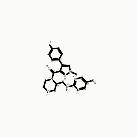 Cn1cc(-c2ccc(F)cc2)c(C(=O)N2CCOCC2CNc2ncc(Br)cn2)n1